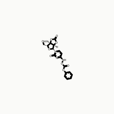 O=C(ONc1ccn([C@@H]2O[C@H](CO)[C@H]3OC(=O)O[C@H]32)c(=O)n1)Oc1ccccc1